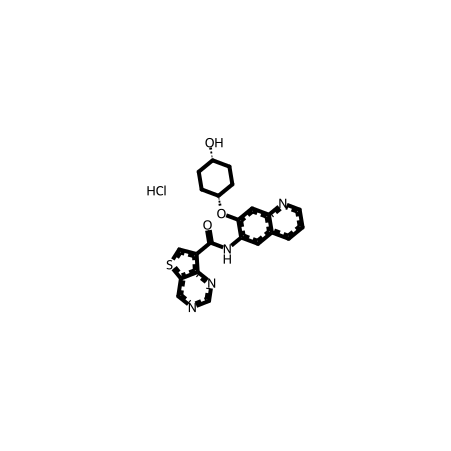 Cl.O=C(Nc1cc2cccnc2cc1O[C@H]1CC[C@@H](O)CC1)c1csc2cncnc12